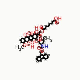 COc1cccc2c1C(=O)c1c(O)c3c(c(O)c1C2=O)C[C@@](O)(C(=O)COC(=O)CCCCCCC(=O)O)C[C@@H]3O[C@H]1CC(NC(=O)OCC2c3ccccc3-c3ccccc32)C[C@H](C)O1